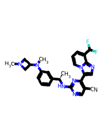 C[C@H](Nc1ncc(C#N)c(-c2cnc3c(C(F)F)cccn23)n1)c1cccc(N(C)C2CN(C)C2)c1